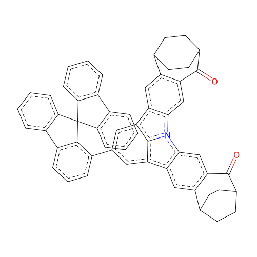 O=C1c2cc3c(cc2C2CCC1CC2)c1cc(-c2cccc4c2C2(c5ccccc5-c5ccccc52)c2ccccc2-4)cc2c4cc5c(cc4n3c12)C(=O)C1CCC5CC1